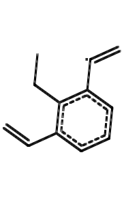 C=[C]c1cccc(C=C)c1CC